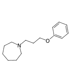 c1ccc(OCCCN2CCCCCC2)cc1